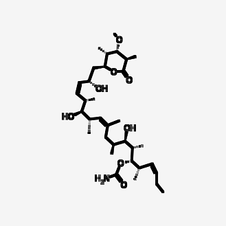 CC/C=C\[C@H](C)[C@H](OC(N)=O)[C@@H](C)[C@H](O)[C@@H](C)C/C(C)=C\[C@H](C)[C@@H](O)[C@@H](C)/C=C\[C@@H](O)C[C@@H]1OC(=O)[C@H](C)[C@@H](OC)[C@H]1C